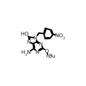 CCCCOc1nc(N)c2nc(O)n(Cc3ccc([N+](=O)[O-])cc3)c2n1